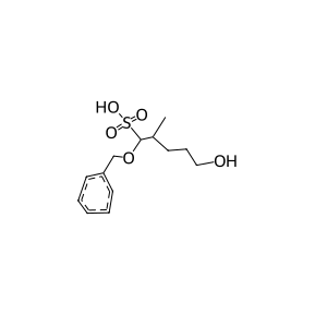 CC(CCCO)C(OCc1ccccc1)S(=O)(=O)O